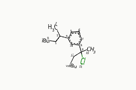 CCC(C)CC(C)c1cccc(C(C)(Cl)CC(C)CC)c1